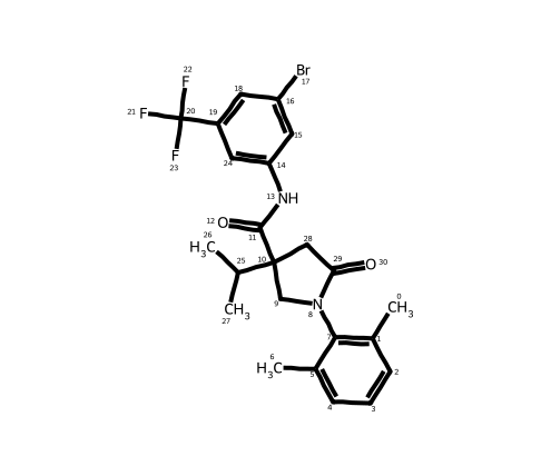 Cc1cccc(C)c1N1CC(C(=O)Nc2cc(Br)cc(C(F)(F)F)c2)(C(C)C)CC1=O